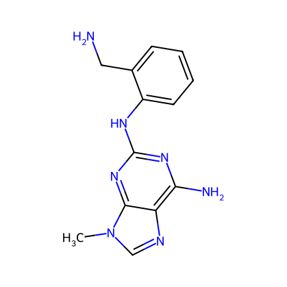 Cn1cnc2c(N)nc(Nc3ccccc3CN)nc21